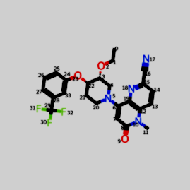 CCO[C@@H]1CN(c2cc(=O)n(C)c3ccc(C#N)nc23)CC[C@H]1Oc1cccc(C(F)(F)F)c1